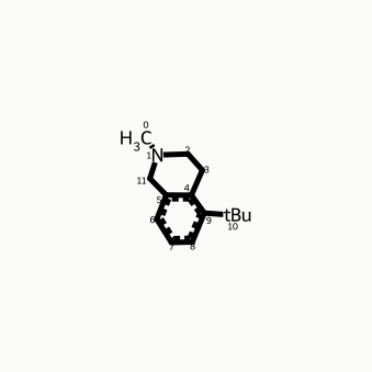 CN1CCc2c(cccc2C(C)(C)C)C1